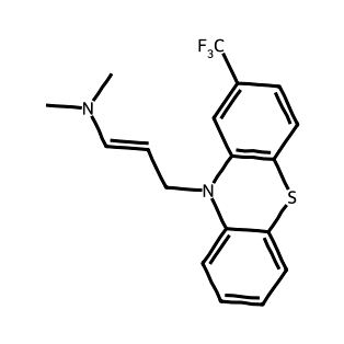 CN(C)C=CCN1c2ccccc2Sc2ccc(C(F)(F)F)cc21